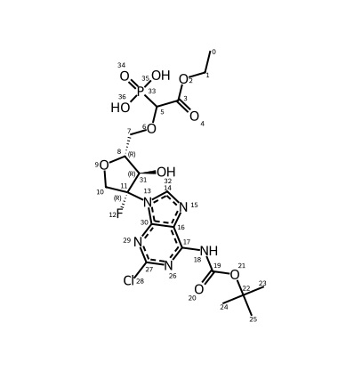 CCOC(=O)C(OC[C@H]1OC[C@](F)(n2cnc3c(NC(=O)OC(C)(C)C)nc(Cl)nc32)[C@@H]1O)P(=O)(O)O